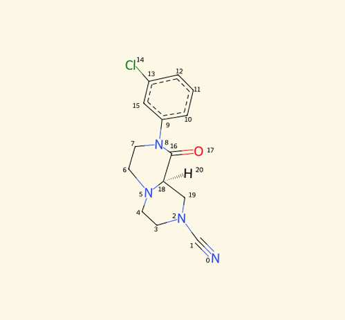 N#CN1CCN2CCN(c3cccc(Cl)c3)C(=O)[C@H]2C1